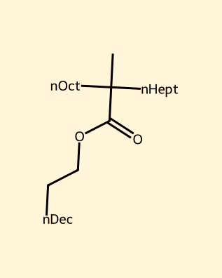 CCCCCCCCCCCCOC(=O)C(C)(CCCCCCC)CCCCCCCC